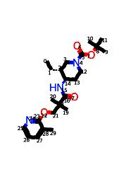 CC[C@@H]1CN(C(=O)OC(C)(C)C)CC[C@H]1NC(=O)C(C)(C)COc1ncccc1C